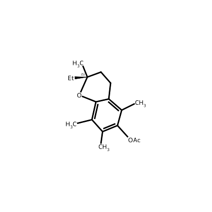 [CH2]C[C@@]1(C)CCc2c(C)c(OC(C)=O)c(C)c(C)c2O1